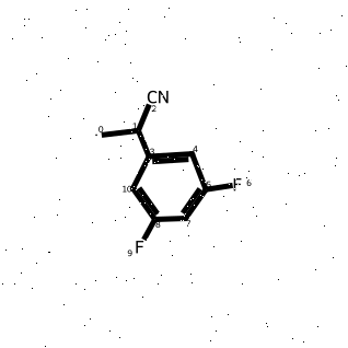 [CH2]C(C#N)c1cc(F)cc(F)c1